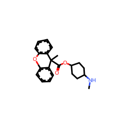 CNC1CCC(OC(=O)C2(C)c3ccccc3Oc3ccccc32)CC1